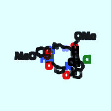 COCCOC1/C=C/C[C@H](C)N(Cc2ccc(OC)cc2)S(=O)(=O)NC(=O)c2ccc3c(c2)N(C[C@@H]2CC[C@@H]12)C[C@@]1(CCCc2cc(Cl)ccc21)CO3